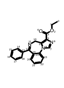 CCOC(=O)c1ncn2c1CN=C(c1ccccc1)c1ccccc1-2